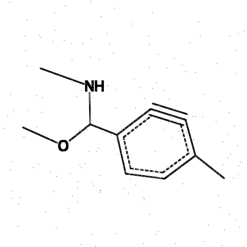 CNC(OC)c1c#cc(C)cc1